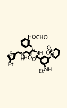 CCNc1cc(C(=O)N[C@@H](Cc2ccccc2)[C@H](O)CNCc2cc(CC)cs2)cc(N2CCCCS2(=O)=O)c1.O=CO